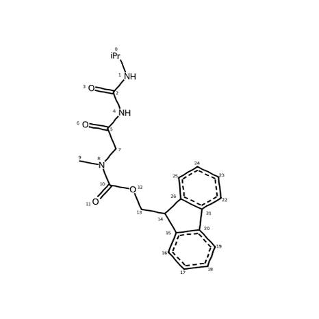 CC(C)NC(=O)NC(=O)CN(C)C(=O)OCC1c2ccccc2-c2ccccc21